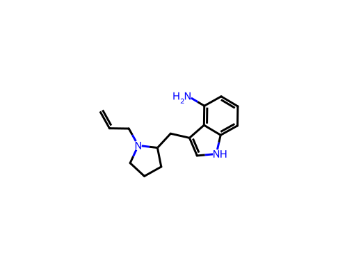 C=CCN1CCCC1Cc1c[nH]c2cccc(N)c12